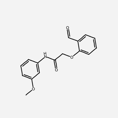 COc1cccc(NC(=O)COc2ccccc2C=O)c1